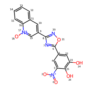 O=[N+]([O-])c1cc(-c2nc(-c3cc4ccccc4[n+]([O-])c3)no2)cc(O)c1O